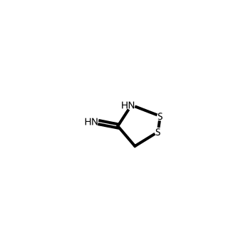 N=C1CSSN1